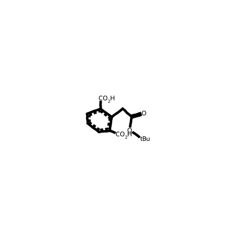 CC(C)(C)OC(=O)Cc1c(C(=O)O)cccc1C(=O)O